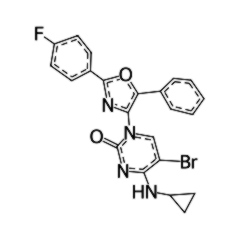 O=c1nc(NC2CC2)c(Br)cn1-c1nc(-c2ccc(F)cc2)oc1-c1ccccc1